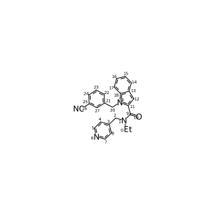 CCN(Cc1ccncc1)C(=O)c1cc2ccccc2n1Cc1cccc(C#N)c1